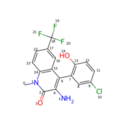 Cn1c(=O)c(N)c(-c2cc(Cl)ccc2O)c2cc(C(F)(F)F)ccc21